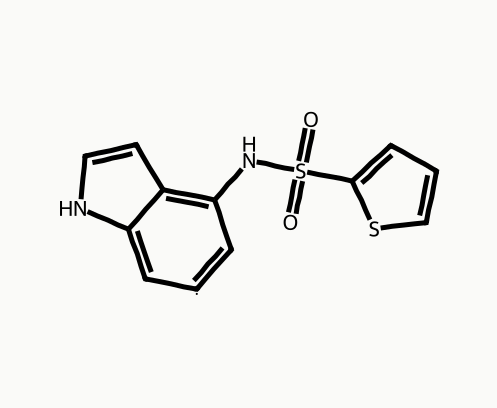 O=S(=O)(Nc1c[c]cc2[nH]ccc12)c1cccs1